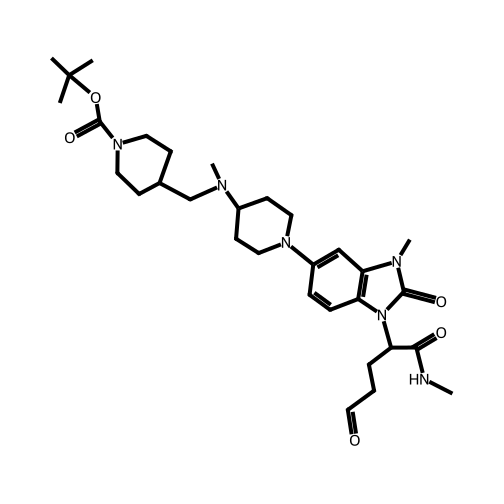 CNC(=O)C(CCC=O)n1c(=O)n(C)c2cc(N3CCC(N(C)CC4CCN(C(=O)OC(C)(C)C)CC4)CC3)ccc21